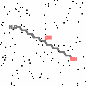 CCCCCC=CCCC(O)CCCCCCCCO